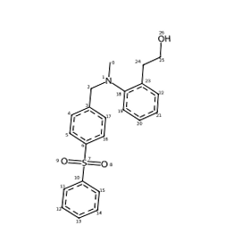 CN(Cc1ccc(S(=O)(=O)c2ccccc2)cc1)c1ccccc1CCO